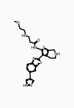 COCCNCCC(=O)Nc1sc2c(c1-c1nc3ccc(-c4cn[nH]c4)cc3s1)CCNC2